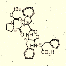 CC(C)(C)OC(=O)N1CCC[C@H]1C(=O)N[C@@H](Cc1ccccc1)C(=O)N[C@@H](Cc1ccccc1)C(=O)N[C@@H](Cc1ccccc1)C(=O)O